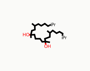 CC(C)CCCCC(C)CCC(C)(O)CCCCC(C)(O)CCC(C)CCCCC(C)C